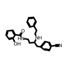 N#Cc1ccc(CC(CCNC(=O)c2ccccc2O)NCCc2ccccc2)cc1